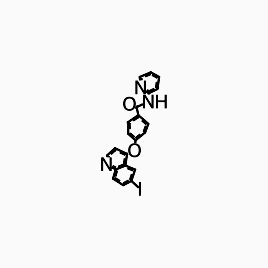 O=C(Nc1ccccn1)c1ccc(Oc2ccnc3ccc(I)cc23)cc1